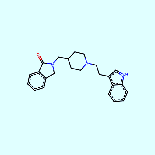 O=C1c2ccccc2CN1CC1CCN(CCc2c[nH]c3ccccc23)CC1